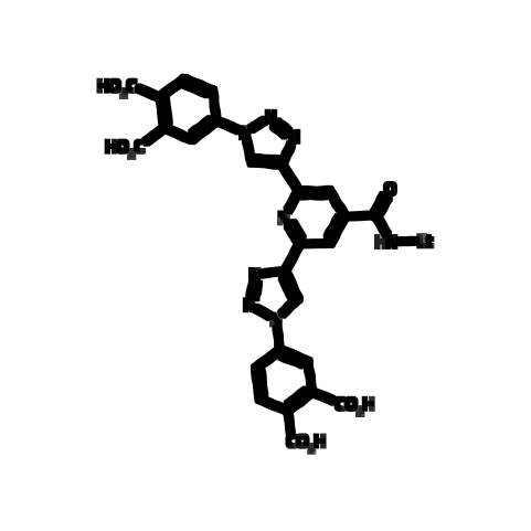 CCNC(=O)c1cc(-c2cn(-c3ccc(C(=O)O)c(C(=O)O)c3)nn2)nc(-c2cn(-c3ccc(C(=O)O)c(C(=O)O)c3)nn2)c1